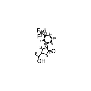 CC(O)C1CC(=O)N(c2cccc(C(F)(F)F)c2)C1